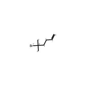 C=CCCC(C)(C)Br